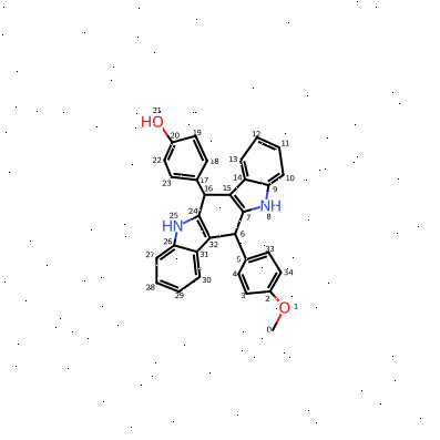 COc1ccc(C2c3[nH]c4ccccc4c3C(c3ccc(O)cc3)c3[nH]c4ccccc4c32)cc1